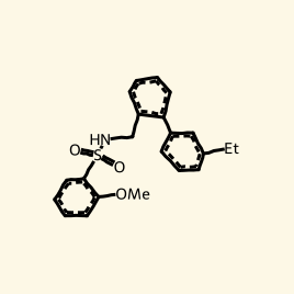 CCc1cccc(-c2ccccc2CNS(=O)(=O)c2ccccc2OC)c1